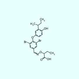 CCC(O/N=C\c1cc(Br)c(Oc2ccc(O)c(C(C)CC)c2)c(Br)c1)C(=O)O